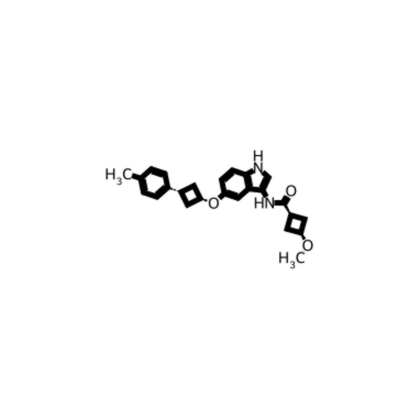 CO[C@H]1C[C@@H](C(=O)Nc2c[nH]c3ccc(O[C@H]4C[C@@H](c5ccc(C)cc5)C4)cc23)C1